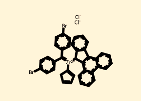 Brc1ccc([C](c2ccc(Br)cc2)=[Zr+2]([C]2=CC=CC2)[CH]2c3ccccc3-c3c2c2ccccc2c2ccccc32)cc1.[Cl-].[Cl-]